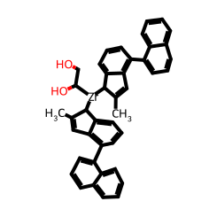 CC1=Cc2c(-c3cccc4ccccc34)cccc2[CH]1[Zr]([CH](O)CO)[CH]1C(C)=Cc2c(-c3cccc4ccccc34)cccc21